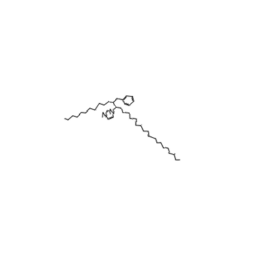 CCCCCCCCCCCCCCCCCCCC(C(CCCCCCCCCCC)Cc1ccccc1)n1ccnc1